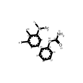 CC(=O)N(I)c1cccc(I)c1I.NC(=O)Oc1ccccc1